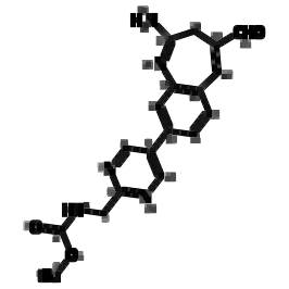 CC(C)(C)OC(=O)NCc1ncc(-c2ccc3c(c2)N=C(N)CC(C=O)=C3)cn1